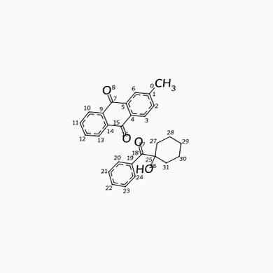 Cc1ccc2c(c1)C(=O)c1ccccc1C2=O.O=C(c1ccccc1)C1(O)CCCCC1